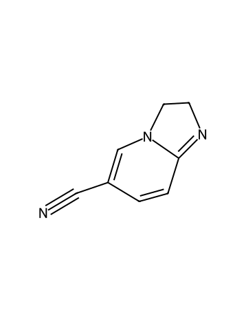 N#CC1=CN2CCN=C2C=C1